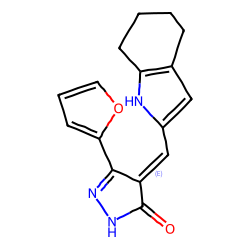 O=C1NN=C(c2ccco2)/C1=C\c1cc2c([nH]1)CCCC2